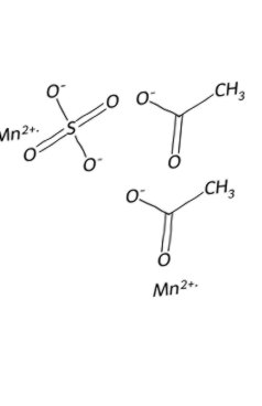 CC(=O)[O-].CC(=O)[O-].O=S(=O)([O-])[O-].[Mn+2].[Mn+2]